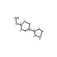 SSN1CCN(C2CCOC2)CC1